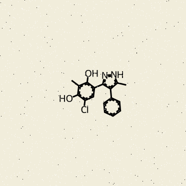 Cc1[nH]nc(-c2cc(Cl)c(O)c(C)c2O)c1-c1ccccc1